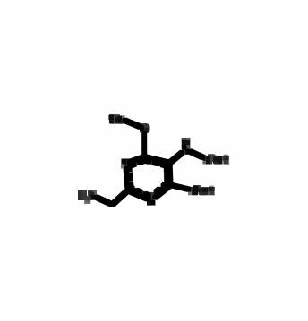 CCCCCNc1c(CCCCC)nc(CN)nc1OC(C)(C)C